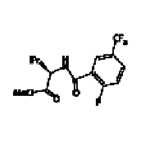 COC(=O)[C@H](NC(=O)c1cc(C(F)(F)F)ccc1F)C(C)C